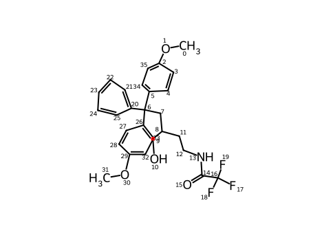 COc1ccc(C(CC(CO)CCNC(=O)C(F)(F)F)(c2ccccc2)c2ccc(OC)cc2)cc1